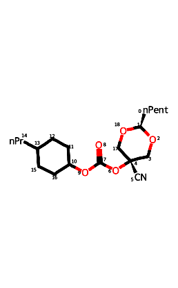 CCCCC[C@H]1OC[C@](C#N)(OC(=O)OC2CCC(CCC)CC2)CO1